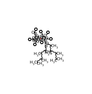 CC(C)CCC[C@@H](C)CCC[C@@H](C)CCC[C@@H](C)CCOC[C@H](CO[C@H]1O[C@H](CO[C@@H]2O[C@H](COC(=O)c3ccccc3)[C@@H](OC(=O)c3ccccc3)[C@H](OC(=O)c3ccccc3)[C@H]2OC(=O)c2ccccc2)[C@@H](OCc2ccccc2)[C@H](OCc2ccccc2)[C@H]1OCc1ccccc1)OCC[C@H](C)CCC[C@H](C)CCC[C@H](C)CCCC(C)C